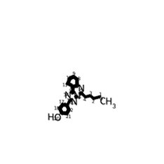 CCCCCc1nc2ccccc2c2nc(-c3ccc(O)cc3)nn12